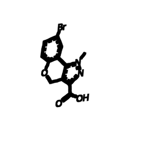 Cn1nc(C(=O)O)c2c1-c1cc(Br)ccc1OC2